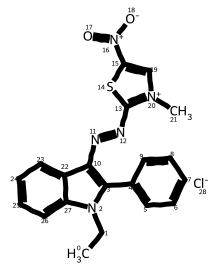 CCn1c(-c2ccccc2)c(N=Nc2sc([N+](=O)[O-])c[n+]2C)c2ccccc21.[Cl-]